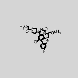 C=CC(=O)N1CCN(c2nc(=O)n3c4c(c(-c5ccc(F)cc5F)c(Cl)cc24)SCC3COC)CC1